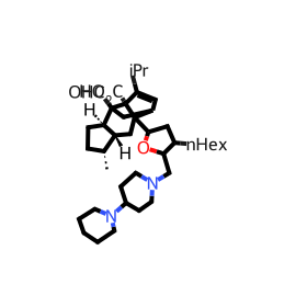 CCCCCCC1CC(C23C[C@@H]4[C@H](C)CC[C@H]4C4(C=O)CC2C=C(C(C)C)C34C(=O)O)OC1CN1CCC(N2CCCCC2)CC1